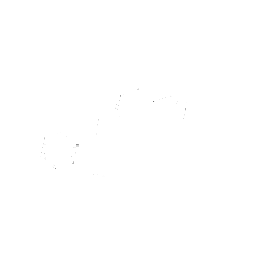 COc1ccccc1OC/C=C(\C)CCC=C(C)C